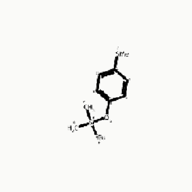 CSc1ccc(O[Si](C)(C)C(C)(C)C)cc1